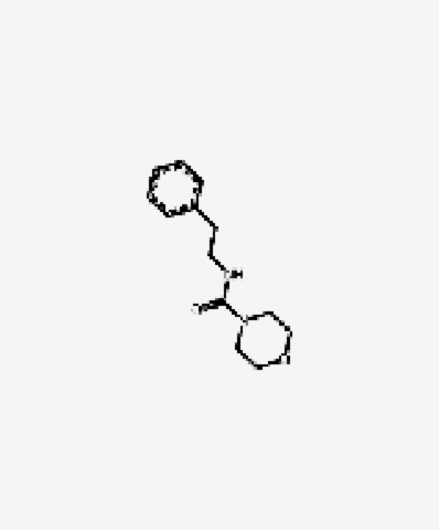 O=C(NCCc1ccccc1)N1CCOCC1